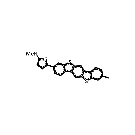 CNc1ccc(-c2ccc3c(c2)sc2cc4c(cc23)sc2cc(C)ccc24)s1